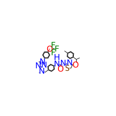 Cc1ccc(C(C)C)c(N2C(=O)CS/C2=N\C(=O)Nc2ccc(CN(C)c3ncn(-c4ccc(OC(F)(F)F)cc4)n3)cc2)c1